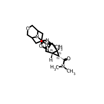 CN(C)C(=O)[C@@H]1[C@@H]2CN(C3CC4COCC(C3)N4c3nc(C(F)(F)F)no3)C[C@@H]21